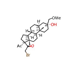 COC[C@@]1(O)CC[C@@]2(C)[C@@H](CC[C@@H]3[C@@H]2CC[C@@]2(C)[C@H]3CC[C@]2(C(C)=O)C(=O)CBr)C1